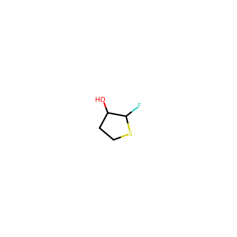 OC1CCSC1F